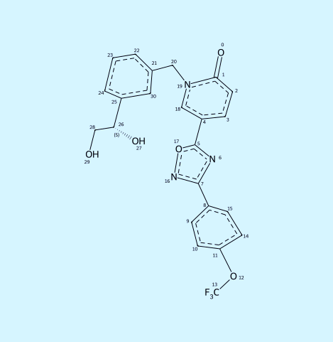 O=c1ccc(-c2nc(-c3ccc(OC(F)(F)F)cc3)no2)cn1Cc1cccc([C@H](O)CO)c1